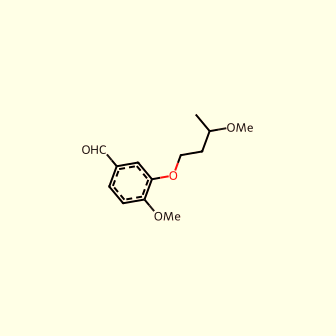 COc1ccc(C=O)cc1OCCC(C)OC